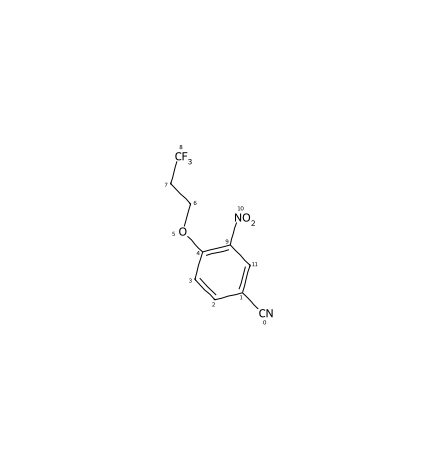 N#Cc1ccc(OCCC(F)(F)F)c([N+](=O)[O-])c1